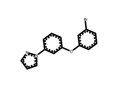 Brc1cccc(Oc2cccc(-n3cccn3)c2)c1